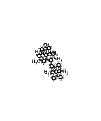 CN1c2ccccc2B2c3c1cccc3N(C)c1c3c(c4c(c12)N(C)c1cc(-c2ccc5c(c2)B2c6ccccc6N(C)c6c2c(c2c7c6N(C)c6ccccc6B7c6ccccc6N2C)N5C)cc2c1C4c1ccccc1N2C)N(C)c1cccc2c1B3c1ccccc1N2C